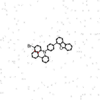 Brc1ccc(N(c2ccc(-c3cccc4c3oc3ccccc34)cc2)c2ccccc2-c2ccccc2)cc1